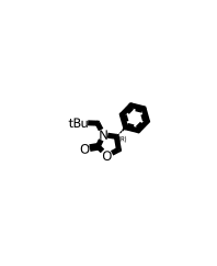 CC(C)(C)CN1C(=O)OC[C@H]1c1ccccc1